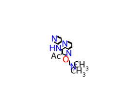 CC(=O)c1c(OCCN(C)C)nc2cccnc2c1Nc1cccnc1